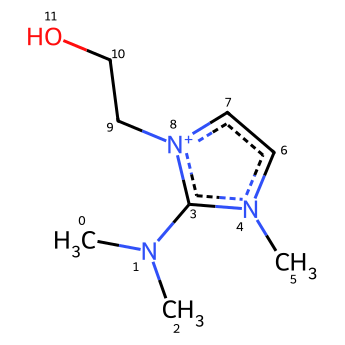 CN(C)c1n(C)cc[n+]1CCO